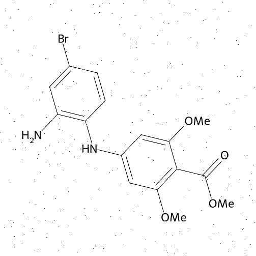 COC(=O)c1c(OC)cc(Nc2ccc(Br)cc2N)cc1OC